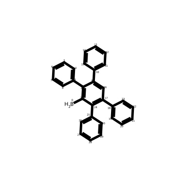 Bc1c(-c2ccccc2)c(-c2ccccc2)cc(-c2ccccc2)c1-c1ccccc1